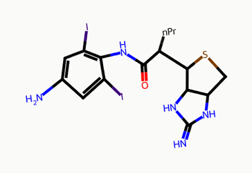 CCCC(C(=O)Nc1c(I)cc(N)cc1I)C1SCC2NC(=N)NC21